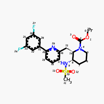 CC(C)OC(=O)N1CCC[C@H](NS(C)(=O)=O)[C@@H]1Cc1cccc(-c2cc(F)cc(F)c2)n1